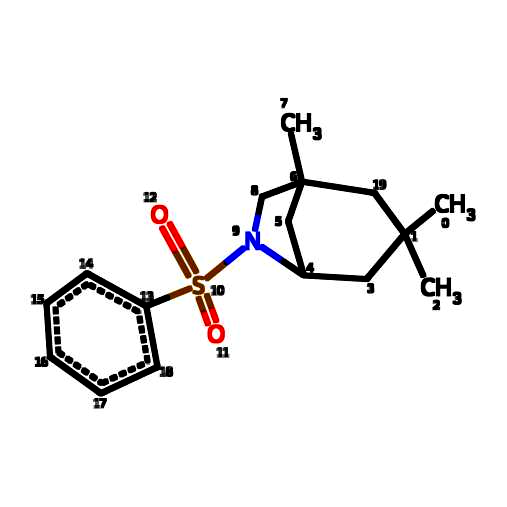 CC1(C)CC2CC(C)(CN2S(=O)(=O)c2ccccc2)C1